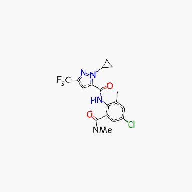 CNC(=O)c1cc(Cl)cc(C)c1NC(=O)c1cc(C(F)(F)F)nn1C1CC1